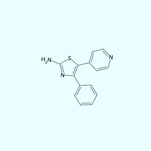 Nc1nc(-c2ccccc2)c(-c2ccncc2)s1